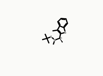 Cc1c([C@@H](C)N(C)SC(C)(C)C)sc2ccccc12